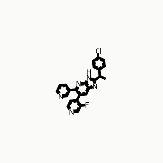 CC(c1ccc(Cl)cc1)c1nc2cc(-c3ccncc3F)c(-c3cccnc3)nc2[nH]1